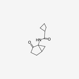 O=C(NC12CC1CCC2=O)C1CCC1